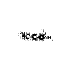 [2H]C([2H])([2H])N1CCN(C2CCN(c3ccc(N)c(OC)c3)CC2)CC1